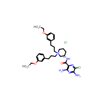 Nc1nc(N)c(C(=O)N[C@H]2CCC[N+](CCCc3cccc(OCC(=O)O)c3)(CCCc3cccc(OCC(=O)O)c3)C2)nc1Cl.[Cl-]